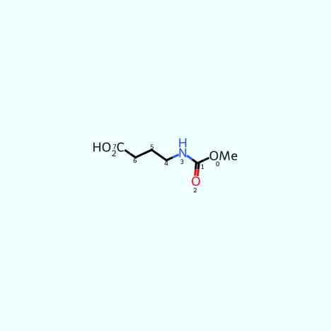 COC(=O)NCCCC(=O)O